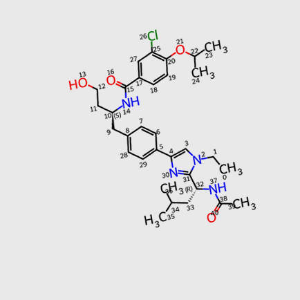 CCn1cc(-c2ccc(C[C@@H](CCO)NC(=O)c3ccc(OC(C)C)c(Cl)c3)cc2)nc1[C@@H](CC(C)C)NC(C)=O